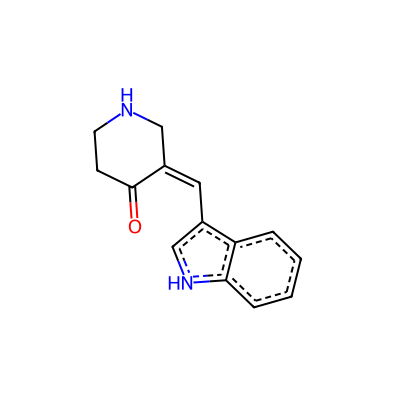 O=C1CCNCC1=Cc1c[nH]c2ccccc12